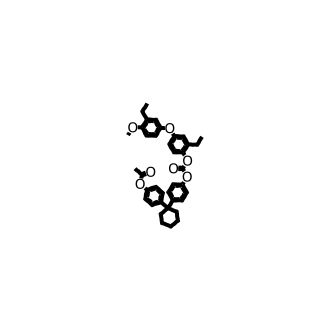 CCc1cc(Oc2ccc(OC(=O)Oc3ccc(C4(c5ccc(OC(C)=O)cc5)CCCCC4)cc3)c(CC)c2)ccc1OC